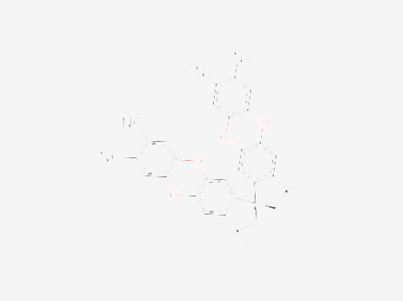 [C-]#[N+]c1cc2c(cc1[N+]#[C-])Oc1cc3c(cc1O2)C(C)(C)C[C@]31CC(C)(C)c2cc3c(cc21)Oc1cc(C#N)c(C#N)cc1O3